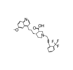 COc1ccc2nccc(CCC[C@@H]3CCN(CC#Cc4ccccc4C(F)(F)F)C[C@@H]3C(=O)O)c2c1